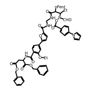 CCCCCC(C(=O)NCNC(=O)c1ccc(-c2ccc(C(=O)NC(CC(=O)OCc3ccccc3)C(=O)OCc3ccccc3)c(OCC)c2)o1)C(CC)N(C=O)OC(=O)c1ccc(-n2cccc2)cc1